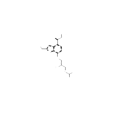 CCC(=O)c1ccc(OCC(O)CNC(C)C)c2oc(CC)cc12